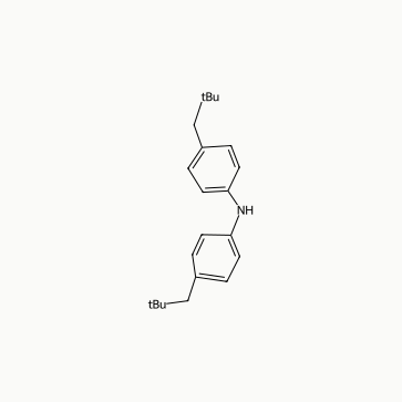 CC(C)(C)Cc1ccc(Nc2ccc(CC(C)(C)C)cc2)cc1